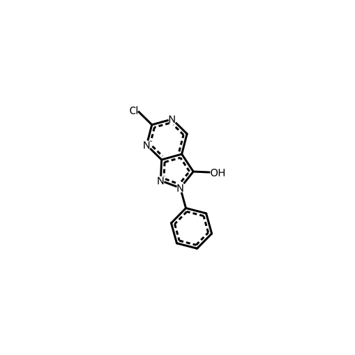 Oc1c2cnc(Cl)nc2nn1-c1ccccc1